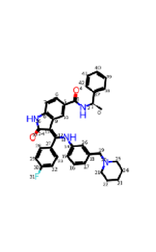 C[C@@H](NC(=O)c1ccc2c(c1)C(=C(Nc1cccc(CN3CCCCC3)c1)c1ccc(F)cc1)C(=O)N2)c1ccccc1